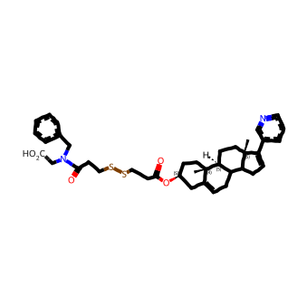 C[C@]12CC[C@H](OC(=O)CCSSCCC(=O)N(CC(=O)O)Cc3ccccc3)CC1=CCC1C3CC=C(c4cccnc4)[C@@]3(C)CC[C@@H]12